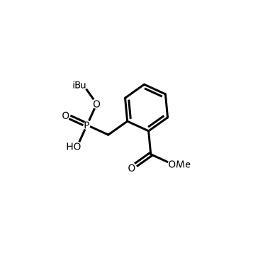 CCC(C)OP(=O)(O)Cc1ccccc1C(=O)OC